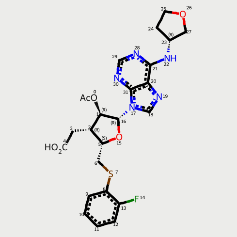 CC(=O)O[C@@H]1[C@@H](CC(=O)O)[C@@H](CSc2ccccc2F)O[C@H]1n1cnc2c(N[C@@H]3CCOC3)ncnc21